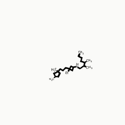 C=CCCC(C)C(C)CNC1CC(CC)(CCCC2(C)C=CC(C)C2)C1